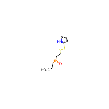 O=C(O)CC[PH](=O)CCSSc1ccc[nH]1